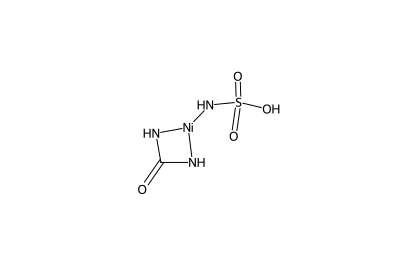 O=C1[NH][Ni]([NH]S(=O)(=O)O)[NH]1